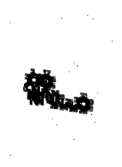 Cc1cccc(C)c1-n1nnnc1C(c1ccccc1)N1CCN(CC=Cc2ccccc2)CC1